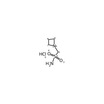 Cl.NS(=O)(=O)CN1CCC1